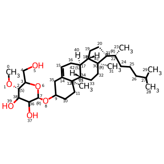 CO[C@@H]1C(CO)O[C@@H](OC2CC[C@@]3(C)C(=CC[C@H]4[C@@H]5CC[C@H]([C@H](C)CCCC(C)C)[C@@]5(C)CC[C@@H]43)C2)C(O)C1O